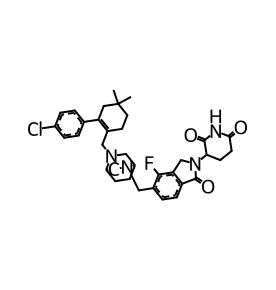 CC1(C)CCC(CN2CC3CCC2CN3Cc2ccc3c(c2F)CN(C2CCC(=O)NC2=O)C3=O)=C(c2ccc(Cl)cc2)C1